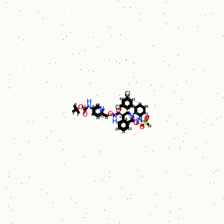 CC(C)(C)OC(=O)Nc1ccc(CONC(=O)[C@@H]2c3ccccc3C(=O)N([C@H]3CCCC[C@@H]3NS(C)(=O)=O)[C@H]2c2ccc(Cl)cc2Cl)nc1